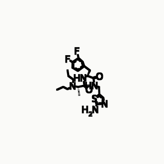 CCCN(CCC)[C@@H](C)C(=O)N[C@@H](Cc1ccc(F)c(F)c1)C(=O)NCc1cnc(N)s1